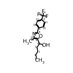 CCCCC(O)c1oc(-c2ccc(C(F)(F)F)cc2)nc1C